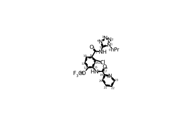 CCCn1nnnc1NC(=O)c1ccc(OC(F)(F)F)c(NC(=O)c2ccccn2)c1Cl